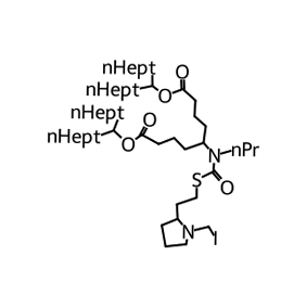 CCCCCCCC(CCCCCCC)OC(=O)CCCC(CCCC(=O)OC(CCCCCCC)CCCCCCC)N(CCC)C(=O)SCCC1CCCN1CI